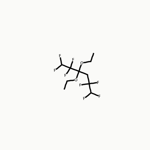 CCOC(CC(F)(F)C(F)F)(OCC)C(F)(F)C(F)F